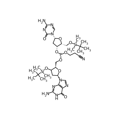 CC(C)(C)[Si](C)(C)OC[C@H]1O[C@@H](n2cnc(N)nc2=O)C[C@H]1OP(OCCC#N)OC[C@H]1O[C@@H](n2cnc3c(=O)[nH]c(N)nc32)CC1O[Si](C)(C)C(C)(C)C